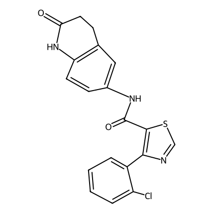 O=C1CCc2cc(NC(=O)c3scnc3-c3ccccc3Cl)ccc2N1